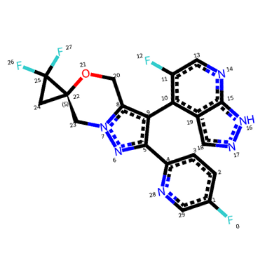 Fc1ccc(-c2nn3c(c2-c2c(F)cnc4[nH]ncc24)CO[C@]2(C3)CC2(F)F)nc1